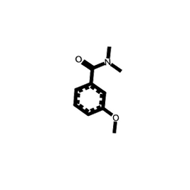 COc1cccc(C(=O)N(C)C)c1